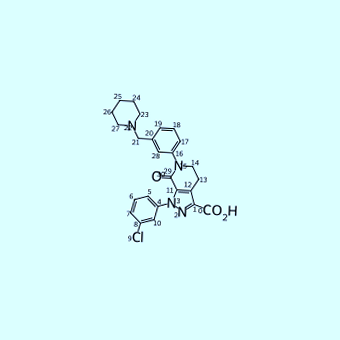 O=C(O)c1nn(-c2cccc(Cl)c2)c2c1CCN(c1cccc(CN3CCCCC3)c1)C2=O